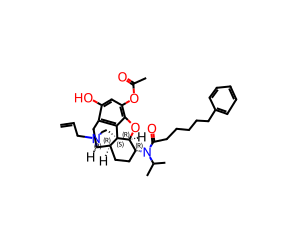 C=CCN1CC[C@]23c4c5c(O)cc(OC(C)=O)c4O[C@H]2[C@H](N(C(=O)CCCCCc2ccccc2)C(C)C)CC[C@H]3[C@H]1C5